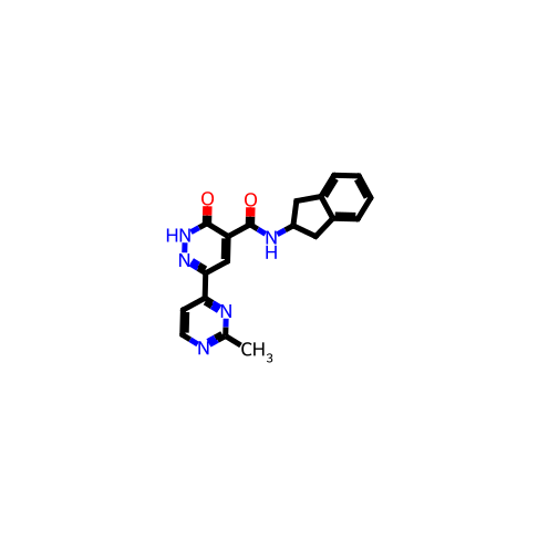 Cc1nccc(-c2cc(C(=O)NC3Cc4ccccc4C3)c(=O)[nH]n2)n1